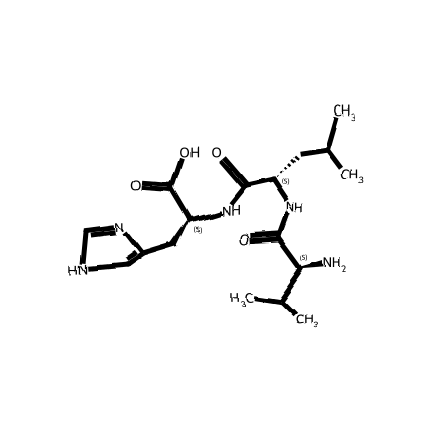 CC(C)C[C@H](NC(=O)[C@@H](N)C(C)C)C(=O)N[C@@H](Cc1c[nH]cn1)C(=O)O